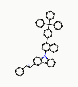 C(=C\c1ccc2c(c1)c1ccccc1n2-c1ccc(-c2ccc(C(c3ccccc3)(c3ccccc3)c3ccccc3)cc2)c2ccccc12)/c1ccccc1